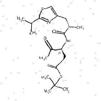 CC(=O)[C@H](CC(=O)OC(C)(C)C)NC(=O)N(C)Cc1csc(C(C)C)n1